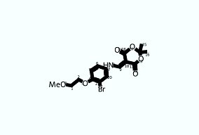 COCCOc1ccc(NC=C2C(=O)OC(C)(C)OC2=O)cc1Br